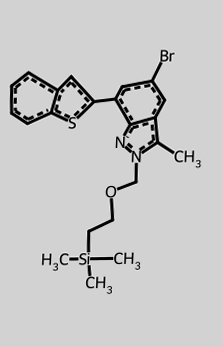 Cc1c2cc(Br)cc(-c3cc4ccccc4s3)c2nn1COCC[Si](C)(C)C